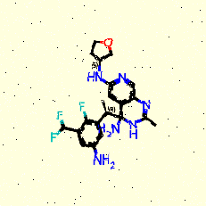 CC1=Nc2cnc(N[C@H]3CCOC3)cc2C(N)([C@H](C)c2cc(N)cc(C(F)F)c2F)N1